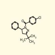 CC(C)(C)C1=NN(C(=O)c2ccc(Cl)cc2)C(c2ccccc2)C1